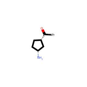 CC(C)C(=O)[C@H]1CC[C@@H](N)C1